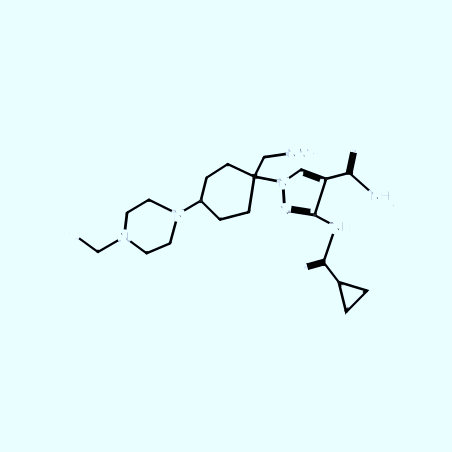 CNCC1(n2cc(C(N)=O)c(NC(=O)C3CC3)n2)CCC(N2CCN(CC(F)(F)F)CC2)CC1